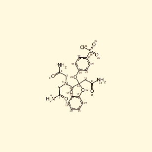 NC(=O)CN(CC(N)=O)C(=O)C(CC(N)=O)(Oc1ccccc1)Oc1ccc(S(=O)(=O)Cl)cc1